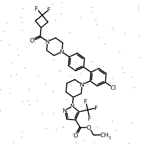 CCOC(=O)c1cnn(C2CCCN(c3cc(Cl)ccc3-c3ccc(N4CCN(C(=O)C5CC(F)(F)C5)CC4)cc3)C2)c1C(F)(F)F